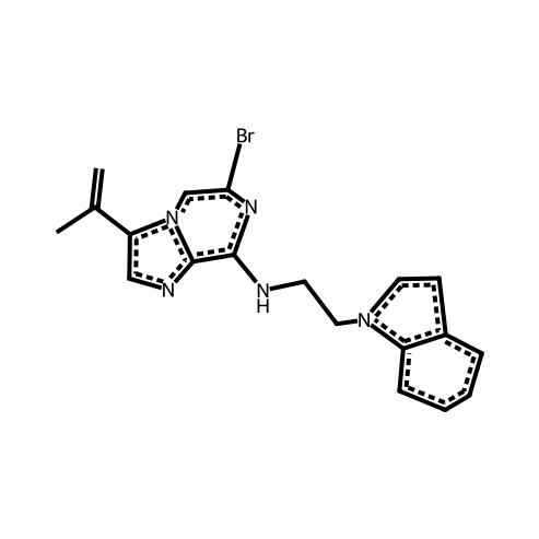 C=C(C)c1cnc2c(NCCn3ccc4ccccc43)nc(Br)cn12